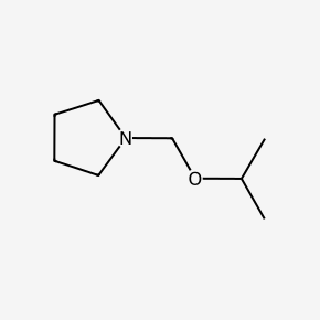 CC(C)OCN1CCCC1